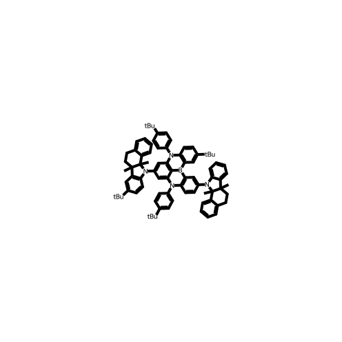 CC(C)(C)c1ccc(N2c3ccc(N4c5ccccc5C5(C)CCc6ccccc6C45C)cc3B3c4cc(C(C)(C)C)ccc4N(c4ccc(C(C)(C)C)cc4)c4cc(N5c6ccc(C(C)(C)C)cc6C6(C)CCc7ccccc7C56C)cc2c43)cc1